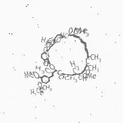 COC1CC(C[C@@H](C)[C@@H]2CC(=O)[C@H](C)/C=C(\C)[C@@H](O)[C@@H](OC)C(=O)[C@H](C)C[C@H](C)/C=C/C=C/C=C(/C)[C@@H](OC)C[C@@H]3CC[C@@H](C)[C@@](O)(O3)C(=O)C(=O)N3CCCC[C@H]3C(=O)O2)CCC1OP(C)(C)=O